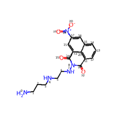 NCCCNCCNN1C(=O)c2cccc3cc([N+](=O)[O-])cc(c23)C1=O